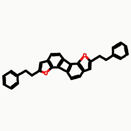 c1ccc(CCc2cc3ccc4c(c3o2)-c2ccc3cc(CCc5ccccc5)oc3c2-4)cc1